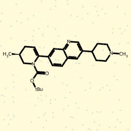 C[C@H]1CC=C(c2ccc3cc(C4CCN(C)CC4)cnc3c2)N(C(=O)OC(C)(C)C)C1